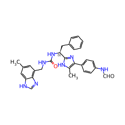 Cc1cc(CNC(=O)N[C@@H](Cc2ccccc2)c2nc(-c3ccc(NC=O)cc3)c(C)[nH]2)c2nc[nH]c2c1